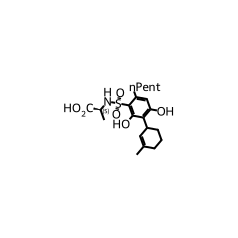 CCCCCc1cc(O)c(C2C=C(C)CCC2)c(O)c1S(=O)(=O)N[C@@H](C)C(=O)O